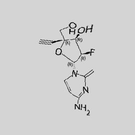 C#C[C@]1(CO)O[C@@H](N2C=CC(N)=NC2=C)[C@H](F)[C@@H]1O